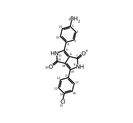 Bc1ccc(C2=C3C(=O)NC(c4ccc(Cl)cc4)=C3C(=O)N2)cc1